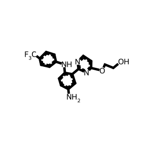 Nc1ccc(Nc2ccc(C(F)(F)F)cc2)c(-c2nccc(OCCO)n2)c1